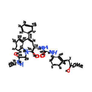 COC(=O)Cc1cccc(NC(=O)NC2C=C(c3ccccc3)c3ccccc3N(CC(=O)NC(C)(C)C)C2=O)c1